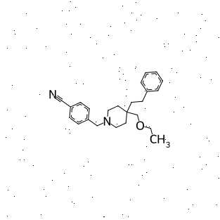 CCOCC1(CCc2ccccc2)CCN(Cc2ccc(C#N)cc2)CC1